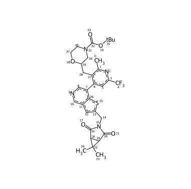 Cc1nc(C(F)(F)F)cc(-c2cncc3cc(CN4C(=O)C5C(C4=O)C5(C)C)sc23)c1CC1CN(C(=O)OC(C)(C)C)CCO1